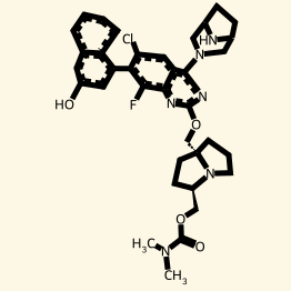 CN(C)C(=O)OC[C@H]1CC[C@@]2(COc3nc(N4CC5CCC(C4)N5)c4cc(Cl)c(-c5cc(O)cc6ccccc56)c(F)c4n3)CCCN12